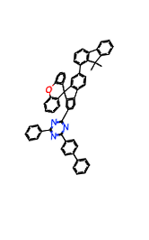 CC1(C)c2ccccc2-c2cccc(-c3ccc4c(c3)C3(c5ccccc5Oc5ccccc53)c3cc(-c5nc(-c6ccccc6)nc(-c6ccc(-c7ccccc7)cc6)n5)ccc3-4)c21